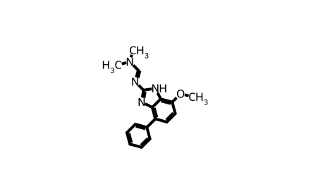 COc1ccc(-c2ccccc2)c2nc(N=CN(C)C)[nH]c12